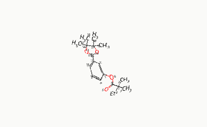 CCC(C)(C)C(=O)Oc1cccc(B2OC(C)(C)C(C)(C)O2)c1